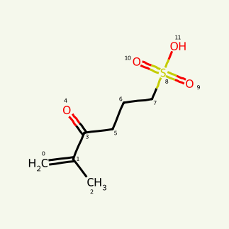 C=C(C)C(=O)CCCS(=O)(=O)O